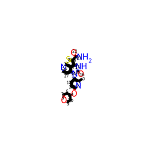 Cc1nc(OC2CCOCC2)ccc1N1C(=O)Nc2c(C(N)=O)sc3nccc1c23